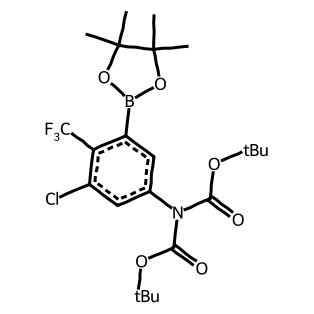 CC(C)(C)OC(=O)N(C(=O)OC(C)(C)C)c1cc(Cl)c(C(F)(F)F)c(B2OC(C)(C)C(C)(C)O2)c1